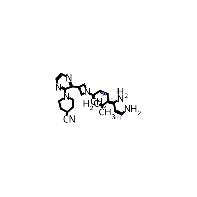 C=C(C)C(/C=C\C(=C)N1CC(c2nccnc2N2CCC(C#N)CC2)C1)=C(N)\C=C/N